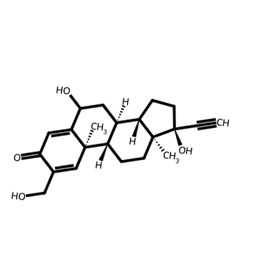 C#C[C@@]1(O)CC[C@H]2[C@@H]3CC(O)C4=CC(=O)C(CO)=C[C@]4(C)[C@H]3CC[C@@]21C